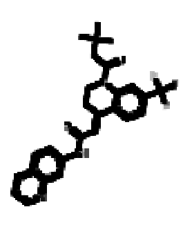 CC(C)(C)CC(=O)N1CCC(=CC(=O)Nc2ccc3cccnc3c2)c2ccc(C(F)(F)F)cc21